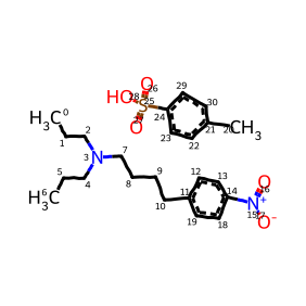 CCCN(CCC)CCCCc1ccc([N+](=O)[O-])cc1.Cc1ccc(S(=O)(=O)O)cc1